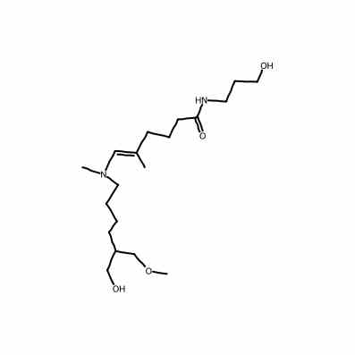 COCC(CO)CCCCN(C)/C=C(\C)CCCC(=O)NCCCO